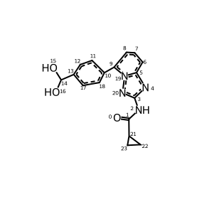 O=C(Nc1nc2cccc(-c3ccc(C(O)O)cc3)n2n1)C1CC1